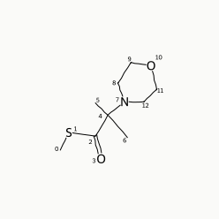 CSC(=O)C(C)(C)N1CCOCC1